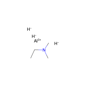 CCN(C)C.[Al+3].[H-].[H-].[H-]